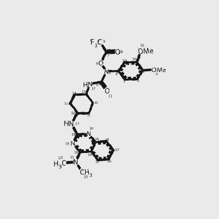 COc1ccc(N(OC(=O)C(F)(F)F)C(=O)NC2CCC(Nc3nc(N(C)C)c4ccccc4n3)CC2)cc1OC